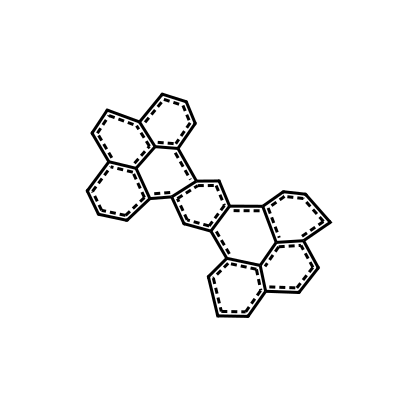 c1cc2ccc3cccc4c5cc6c(cc5c(c1)c2c34)c1cccc2ccc3cccc6c3c21